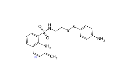 C=C/C=C\c1cccc(S(=O)(=O)NCCSSc2ccc(N)cc2)c1N